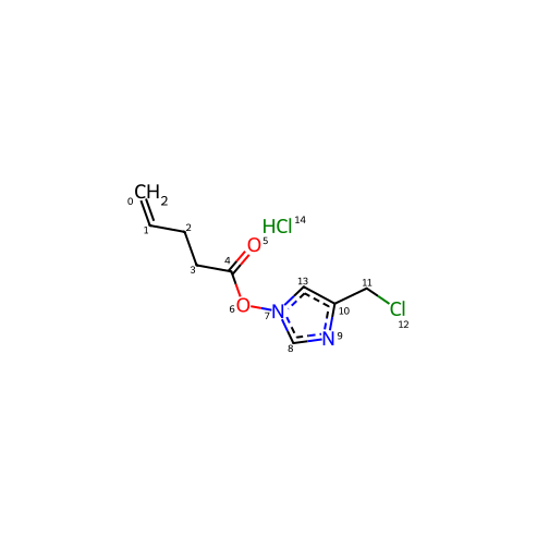 C=CCCC(=O)On1cnc(CCl)c1.Cl